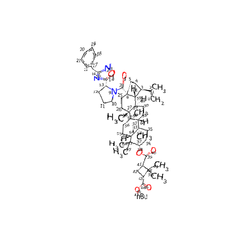 C=C(C)[C@@H]1CC[C@]2(C(=O)N3CCC[C@@H]3c3nc(-c4ccccc4)no3)CC[C@]3(C)[C@H](CC[C@@H]4[C@@]5(C)CC[C@H](OC(=O)C6CC(C(=O)OCCCC)C6(C)C)C(C)(C)[C@@H]5CC[C@]43C)[C@@H]12